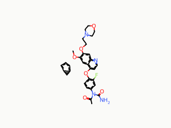 COc1cc2c(Oc3ccc(N(C(C)=O)C(N)=O)cc3F)ccnc2cc1OCCN1CCOCC1.c1cc2cc-2c1